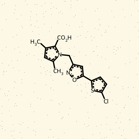 Cc1cc(C)n(Cc2cc(-c3ccc(Cl)s3)on2)c1C(=O)O